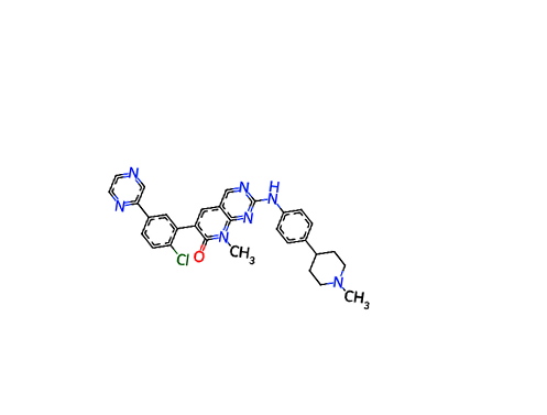 CN1CCC(c2ccc(Nc3ncc4cc(-c5cc(-c6cnccn6)ccc5Cl)c(=O)n(C)c4n3)cc2)CC1